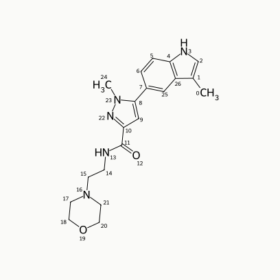 Cc1c[nH]c2ccc(-c3cc(C(=O)NCCN4CCOCC4)nn3C)cc12